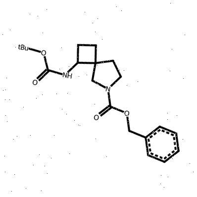 CC(C)(C)OC(=O)NC1CCC12CCN(C(=O)OCc1ccccc1)C2